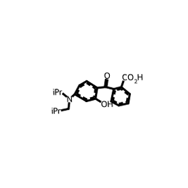 CC(C)CN(c1ccc(C(=O)c2ccccc2C(=O)O)c(O)c1)C(C)C